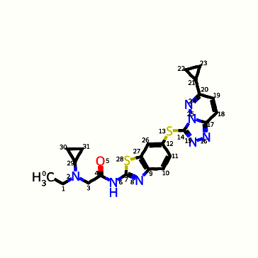 CCN(CC(=O)Nc1nc2ccc(Sc3nnc4ccc(C5CC5)nn34)cc2s1)C1CC1